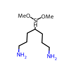 CO[SiH](OC)C(CCCN)CCCN